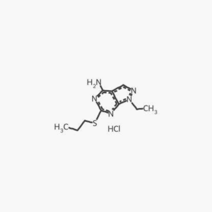 CCCSc1nc(N)c2cnn(CC)c2n1.Cl